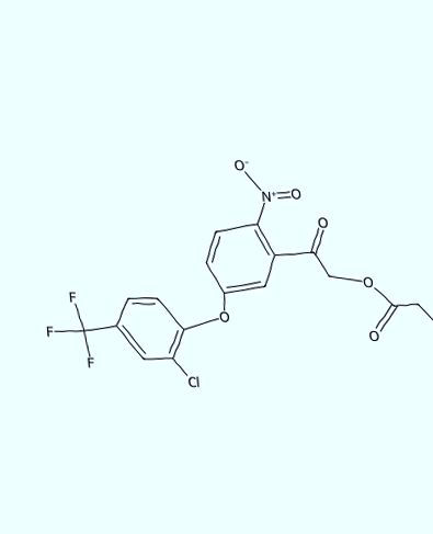 CCC(=O)OCC(=O)c1cc(Oc2ccc(C(F)(F)F)cc2Cl)ccc1[N+](=O)[O-]